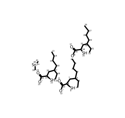 CCCCC(CC)CC(S)C(=O)[O-].CCCCC(CC)CC(S)C(=O)[O-].CCCCC(CC)CC(S)C(=O)[O-].[CH3][Sn+3][CH3]